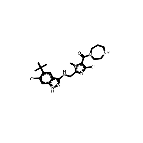 Cn1c(CNc2n[nH]c3cc(Cl)c(C(C)(C)C)cc23)nc(Cl)c1C(=O)N1CCCNCC1